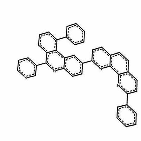 c1ccc(-c2ccc3ccc4ccc(-c5ccc6nc(-c7cccnc7)c7cccc(-c8ccccc8)c7c6c5)nc4c3n2)cc1